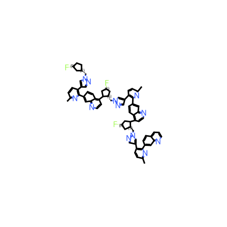 Cc1ccc(-c2cnn(C[C@H]3C[C@H](F)CC3c3ccnc4cc(-c5nc(C)ccc5-c5cnn(C[C@H]6C[C@@H](F)CC6c6ccnc7cc(-c8nc(C)ccc8-c8cnn(C[C@H]9CC[C@@H](F)C9)c8)ccc67)c5)ccc34)c2)c(-c2ccc3cccnc3c2)n1